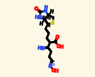 N=C(CC/[C]=N/O)C(CCC[C@@H]1SC[C@@H]2NC(=O)N[C@@H]21)C(=O)O